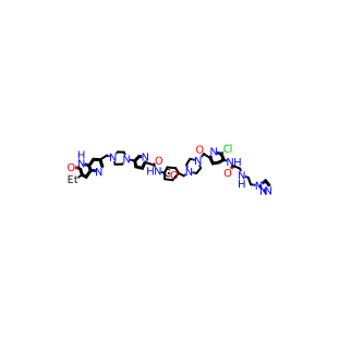 CCc1cc2ncc(CN3CCN(c4ccc(C(=O)NC56CCC(CN7CCN(C(=O)c8ccc(NC(=O)CNCCn9ccnn9)c(Cl)n8)CC7)(CC5)OC6)nc4)CC3)cc2[nH]c1=O